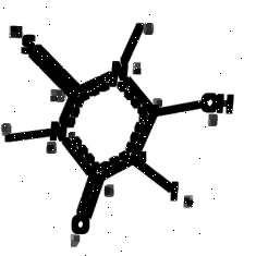 Cn1c(O)c(I)c(=O)n(C)c1=S